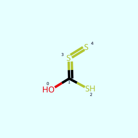 OC(S)=S=S